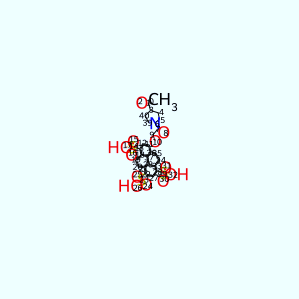 CC(=O)C1CCN(C(=O)COc2cc(S(=O)(=O)O)c3ccc4c(S(=O)(=O)O)cc(S(=O)(=O)O)c5ccc2c3c54)CC1